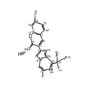 Br.Cc1cn2cc(-c3cc4ccc(F)cc4oc3=O)nc2c(C(F)(F)F)n1